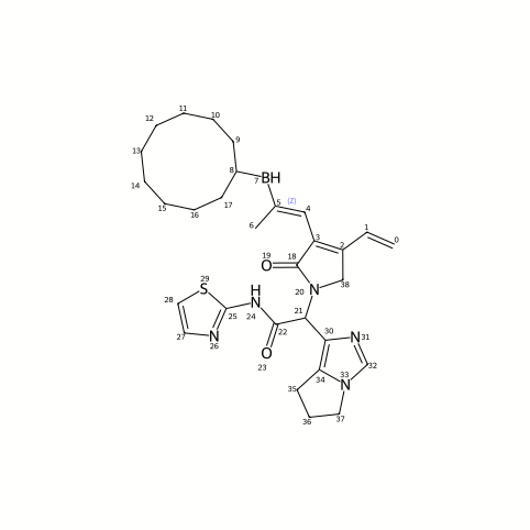 C=CC1=C(/C=C(\C)BC2CCCCCCCCC2)C(=O)N(C(C(=O)Nc2nccs2)c2ncn3c2CCC3)C1